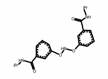 CC(C)NC(=O)c1cccc(OBOc2cccc(C(=O)NC(C)C)c2)c1